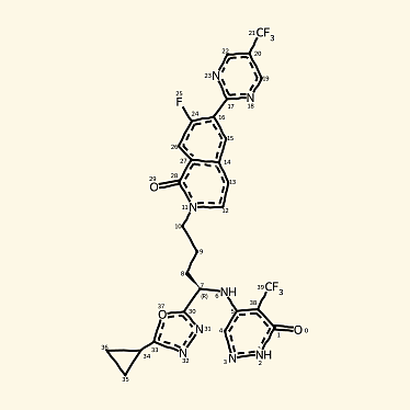 O=c1[nH]ncc(N[C@H](CCCn2ccc3cc(-c4ncc(C(F)(F)F)cn4)c(F)cc3c2=O)c2nnc(C3CC3)o2)c1C(F)(F)F